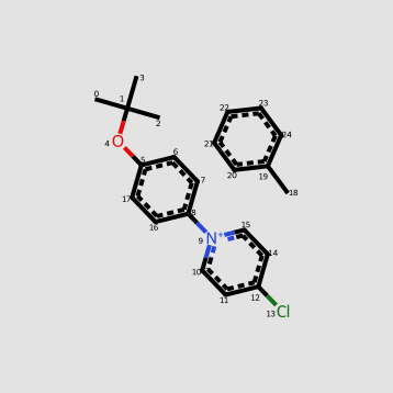 CC(C)(C)Oc1ccc(-[n+]2ccc(Cl)cc2)cc1.Cc1ccccc1